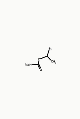 [CH2]NC(=O)OC(C)CC